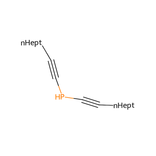 CCCCCCCC#CPC#CCCCCCCC